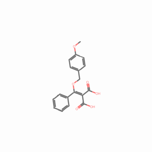 COc1ccc(COC(=C(C(=O)O)C(=O)O)c2ccccc2)cc1